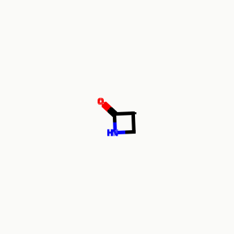 O=C1[CH]CN1